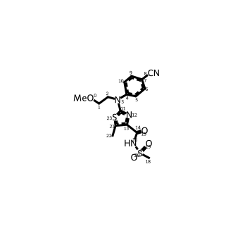 COCCN(c1ccc(C#N)cc1)c1nc(C(=O)NS(C)(=O)=O)c(C)s1